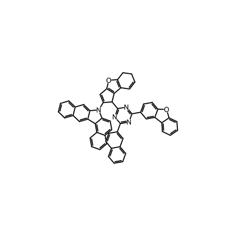 C1=Cc2c(oc3c2C(c2nc(-c4ccc5ccccc5c4)nc(-c4ccc5oc6ccccc6c5c4)n2)C(n2c4cc5ccccc5cc4c4c5ccccc5ccc42)=C3)CC1